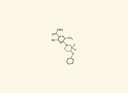 COC(=O)c1cc(C)c(N2CCC(Oc3ccccc3)C(F)(F)C2)nc1C#N